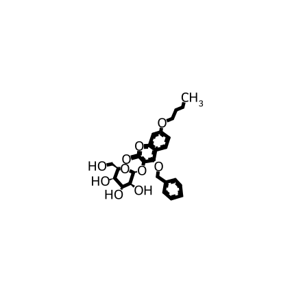 CCCCOc1ccc2c(OCc3ccccc3)c(O[C@H]3O[C@H](CO)[C@@H](O)[C@H](O)[C@@H]3O)c(=O)oc2c1